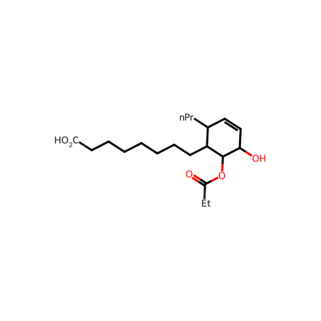 CCCC1C=CC(O)C(OC(=O)CC)C1CCCCCCCC(=O)O